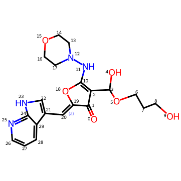 O=C1C(C(O)OCCCO)=C(NN2CCOCC2)O/C1=C\c1c[nH]c2ncccc12